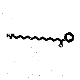 NCCCCCCCCCCCCC(=O)c1ccccc1